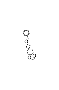 c1ccc(COC2CC3(CCC4(CC3)OCCO4)C2)cc1